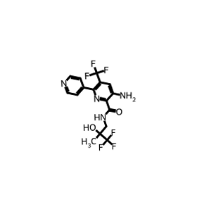 CC(O)(CNC(=O)c1nc(-c2ccncc2)c(C(F)(F)F)cc1N)C(F)(F)F